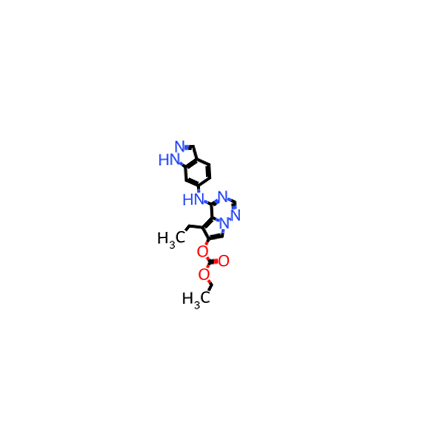 CCOC(=O)Oc1cn2ncnc(Nc3ccc4cn[nH]c4c3)c2c1CC